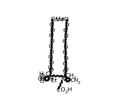 CCN1C(=CC=CC=CC2=[N+](CCCCCC(=O)O)c3ccc(C)cc3C2(C)CCOOCCOCCOCCOCCOCCOCCOCCOCCOCCOC)C(C)(CCOOCCOCCOCCOCCOCCOCCOCCOCCOCCOC)c2cc(S(=O)(=O)[O-])ccc21